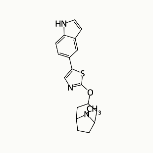 CN1C2CCC1CC(Oc1ncc(-c3ccc4[nH]ccc4c3)s1)C2